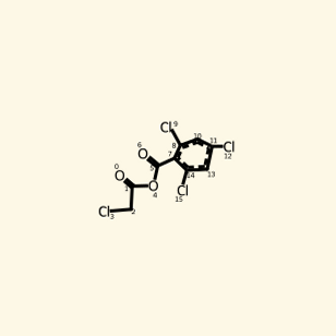 O=C(CCl)OC(=O)c1c(Cl)cc(Cl)cc1Cl